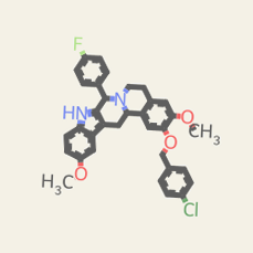 COc1ccc2[nH]c3c(c2c1)CC1c2cc(OCc4ccc(Cl)cc4)c(OC)cc2CCN1C3c1ccc(F)cc1